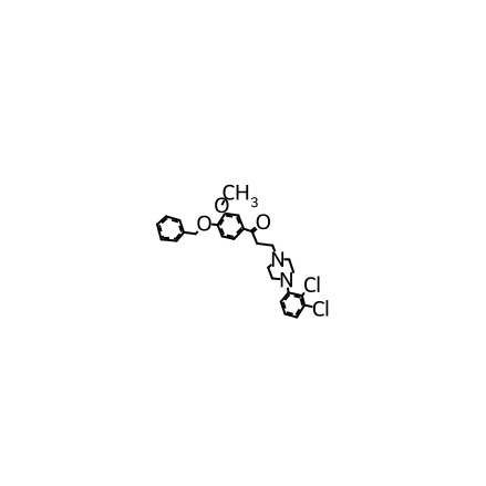 COc1cc(C(=O)CCN2CCN(c3cccc(Cl)c3Cl)CC2)ccc1OCc1ccccc1